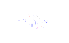 NC(=O)N(N)c1nc2c(c(N(N)C(N)=O)n1)CCCC2